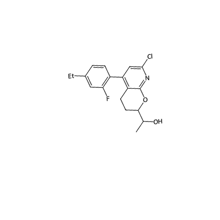 CCc1ccc(-c2cc(Cl)nc3c2CCC(C(C)O)O3)c(F)c1